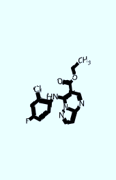 CCOC(=O)c1cnc2ccnn2c1Nc1ccc(F)cc1Cl